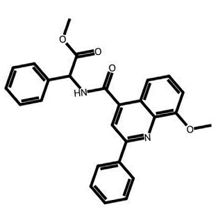 COC(=O)C(NC(=O)c1cc(-c2ccccc2)nc2c(OC)cccc12)c1ccccc1